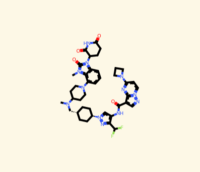 CN(C[C@H]1CC[C@H](n2cc(NC(=O)c3cnn4ccc(N5CCC5)nc34)c(C(F)F)n2)CC1)C1CCN(c2cccc3c2n(C)c(=O)n3C2CCC(=O)NC2=O)CC1